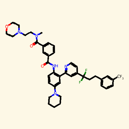 CN(CCN1CCOCC1)C(=O)c1cccc(C(=O)Nc2ccc(N3CCCCC3)cc2-c2cc(C(F)(F)CCc3cccc(C(F)(F)F)c3)ccn2)c1